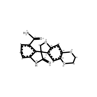 NC(=O)c1cccc2c1C1(COc3cc4c(cc31)OCCO4)C(=O)N2